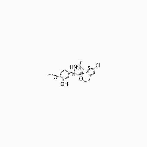 CCOc1ccc([C@@H]2C[C@]3(C[C@H](C)N2)OCCc2cc(Cl)sc23)cc1O